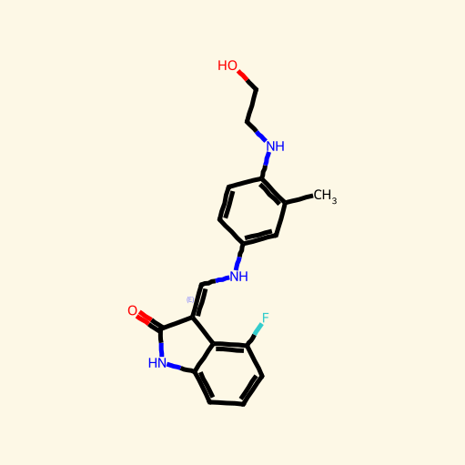 Cc1cc(N/C=C2/C(=O)Nc3cccc(F)c32)ccc1NCCO